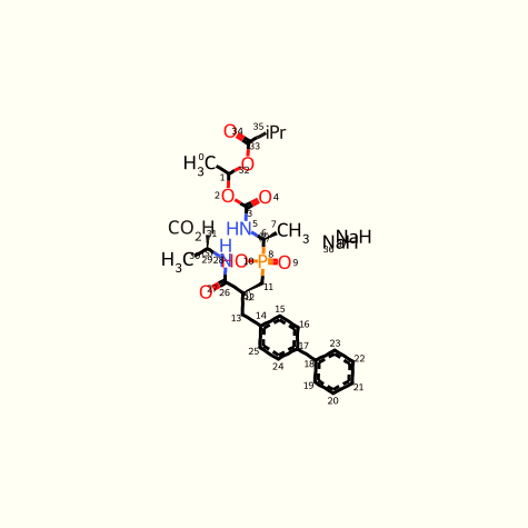 CC(OC(=O)N[C@@H](C)P(=O)(O)C[C@@H](Cc1ccc(-c2ccccc2)cc1)C(=O)N[C@@H](C)C(=O)O)OC(=O)C(C)C.[NaH].[NaH]